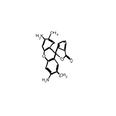 Cc1cc2c(cc1N)Oc1cc(N)c(C)cc1C21OC(=O)c2ccccc21